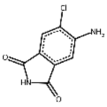 Nc1cc2c(cc1Cl)C(=O)NC2=O